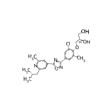 Cc1cc(-c2nc(-c3cc(C)c(OC[C@H](O)CO)c(Cl)c3)no2)cc(CC(C)C)n1